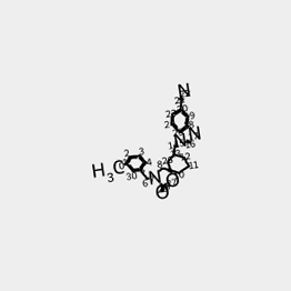 Cc1cccc(CN2CC3(CCCC(Cn4cnc5cc(C#N)ccc54)C3)OC2=O)c1